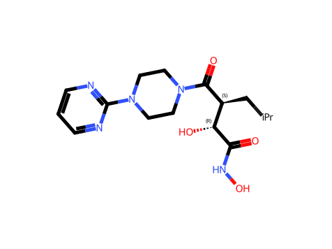 CC(C)C[C@H](C(=O)N1CCN(c2ncccn2)CC1)[C@@H](O)C(=O)NO